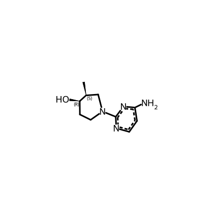 C[C@H]1CN(c2nccc(N)n2)CC[C@H]1O